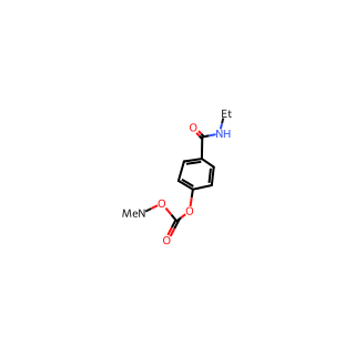 CCNC(=O)c1ccc(OC(=O)ONC)cc1